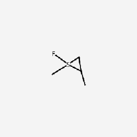 CC1CS1(C)F